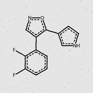 Fc1cccc(-c2cnoc2-c2cc[nH]c2)c1F